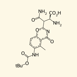 Cc1c(NC(=O)OC(C)(C)C)ccc2oc(C(C(N)=O)[C@H](N)C(=O)O)nc(=O)c12